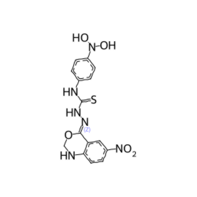 O=[N+]([O-])c1ccc2c(c1)/C(=N/NC(=S)Nc1ccc(N(O)O)cc1)OCN2